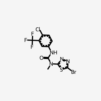 CN(C(=O)Nc1ccc(Cl)c(C(F)(F)F)c1)c1nnc(Br)s1